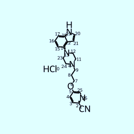 Cl.N#Cc1ccc(OCCCN2CCN(c3cccc4[nH]ccc34)CC2)cn1